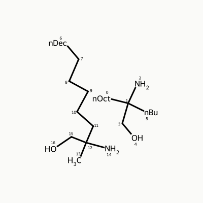 CCCCCCCCC(N)(CO)CCCC.CCCCCCCCCCCCCCCC(C)(N)CO